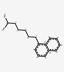 FC(F)CCCCCc1cccc2ccccc12